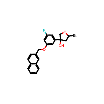 CCC1CC(O)(c2cc(F)cc(OCc3ccc4ccccc4c3)c2)CO1